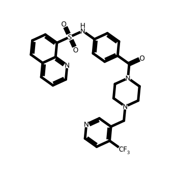 O=C(c1ccc(NS(=O)(=O)c2cccc3cccnc23)cc1)N1CCN(Cc2cnccc2C(F)(F)F)CC1